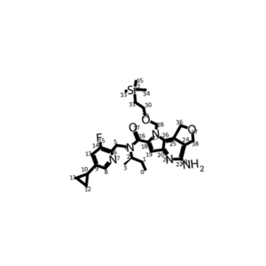 CC[C@@H](C)N(Cc1ncc(C2CC2)cc1F)C(=O)c1cc2nc(N)c3c(c2n1COCC[Si](C)(C)C)COC3